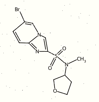 CN(C1CCOC1)S(=O)(=O)c1cn2cc(Br)ccc2n1